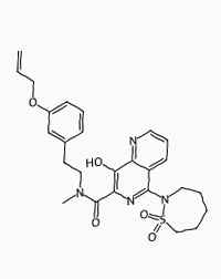 C=CCOc1cccc(CCN(C)C(=O)c2nc(N3CCCCCS3(=O)=O)c3cccnc3c2O)c1